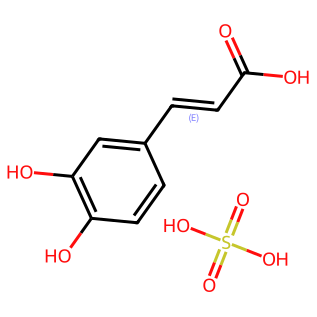 O=C(O)/C=C/c1ccc(O)c(O)c1.O=S(=O)(O)O